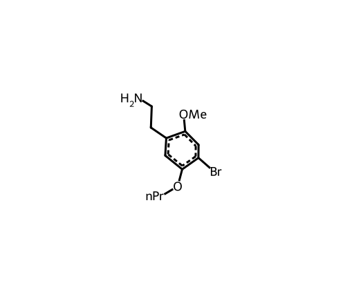 CCCOc1cc(CCN)c(OC)cc1Br